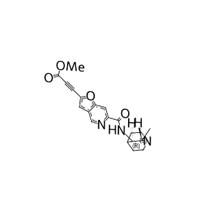 COC(=O)C#Cc1cc2cnc(C(=O)N[C@@H]3C4CCN(CC4)[C@H]3C)cc2o1